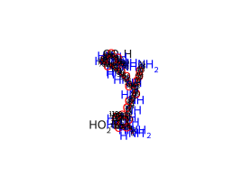 N=C(N)NCCCC1NC(=O)C(CCCCNC(=O)CCCC(=O)NCCNC(=O)CCN(CCCOCCOCCOCCCN)CCC(=O)NCCNC(=O)CCCC(=O)NCCCCC2NC(=O)C(Cc3ccccc3)NC(=O)C(CC(=O)O)NC(=O)CNC(=O)C(CCCNC(=N)N)NC2=O)NC(=O)C(Cc2ccccc2)NC(=O)C(CC(=O)O)NC(=O)CNC1=O